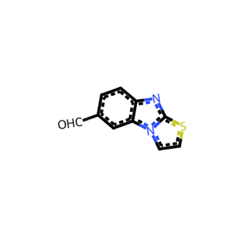 O=Cc1ccc2nc3sccn3c2c1